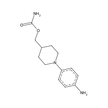 NC(=O)OCC1CCN(c2ccc(N)cc2)CC1